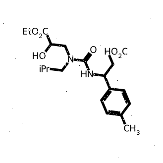 CCOC(=O)C(O)CN(CC(C)C)C(=O)NC(CC(=O)O)c1ccc(C)cc1